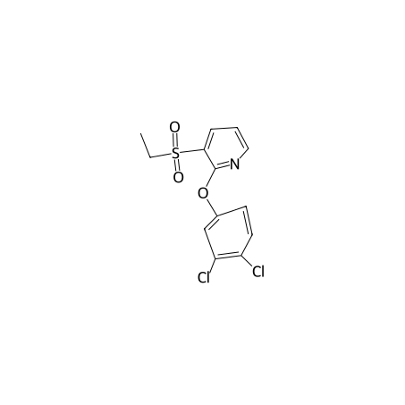 CCS(=O)(=O)c1cccnc1Oc1ccc(Cl)c(Cl)c1